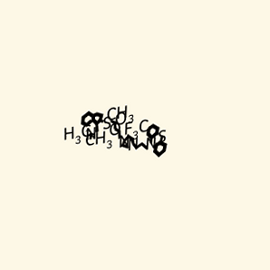 CC(Sc1ccc2ccccc2c1CN(C)C)C(=O)OCCN1CCN(CCCN2c3ccccc3Sc3ccc(C(F)(F)F)cc32)CC1